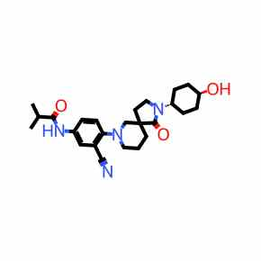 CC(C)C(=O)Nc1ccc(N2CCCC3(CCN([C@H]4CC[C@H](O)CC4)C3=O)C2)c(C#N)c1